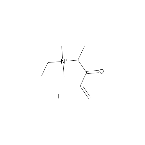 C=CC(=O)C(C)[N+](C)(C)CC.[I-]